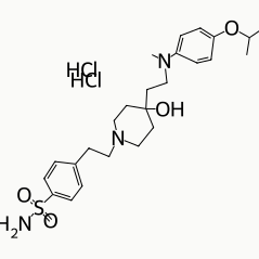 CC(C)Oc1ccc(N(C)CCC2(O)CCN(CCc3ccc(S(N)(=O)=O)cc3)CC2)cc1.Cl.Cl